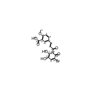 COc1ccc(/C=C/C(=O)n2c(O)c(O)cc(Br)c2=O)cc1C(=O)O